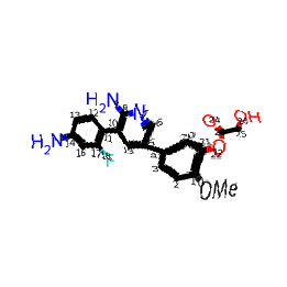 COc1ccc(-c2cnc(N)c(-c3ccc(N)cc3F)c2)cc1OC(=O)CO